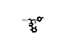 Cc1ccc([S@@+]([O-])NC(CC(=O)O)c2cc(-c3c(C)cccc3C)cs2)cc1